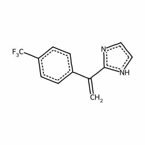 C=C(c1ccc(C(F)(F)F)cc1)c1ncc[nH]1